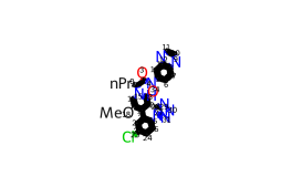 CCCC(C(=O)Nc1ccc2nccnc2c1)n1cc(OC)c(-c2cc(Cl)ccc2-n2cnnn2)cc1=O